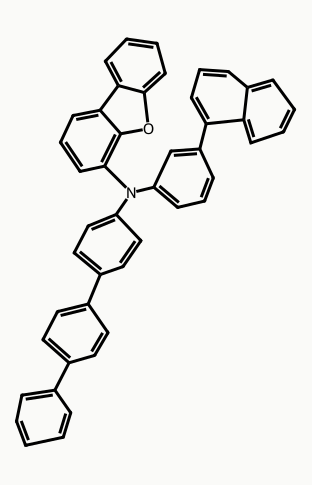 c1ccc(-c2ccc(-c3ccc(N(c4cccc(-c5cccc6ccccc56)c4)c4cccc5c4oc4ccccc45)cc3)cc2)cc1